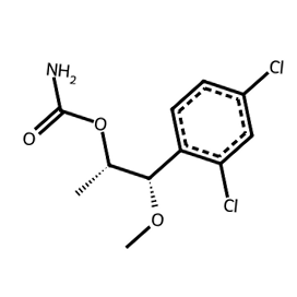 CO[C@@H](c1ccc(Cl)cc1Cl)[C@H](C)OC(N)=O